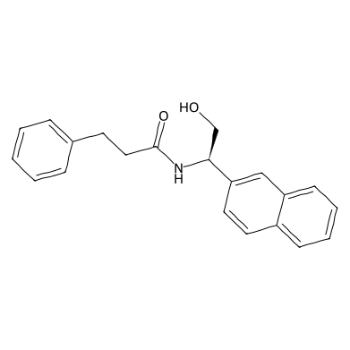 O=C(CCc1ccccc1)N[C@@H](CO)c1ccc2ccccc2c1